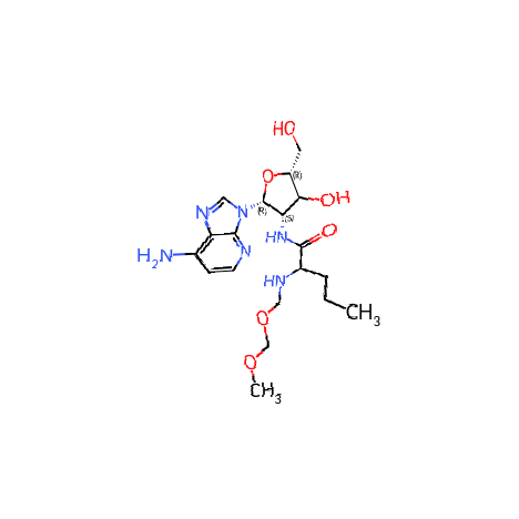 CCCC(NCOCOC)C(=O)N[C@H]1C(O)[C@@H](CO)O[C@H]1n1cnc2c(N)ccnc21